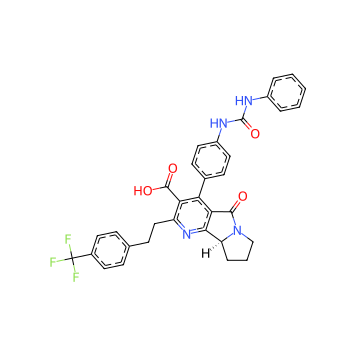 O=C(Nc1ccccc1)Nc1ccc(-c2c(C(=O)O)c(CCc3ccc(C(F)(F)F)cc3)nc3c2C(=O)N2CCC[C@@H]32)cc1